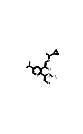 CC/C=C(\NN)c1ncc(C(C)F)cc1/C(=C/N=C(\C)C1CC1)CC